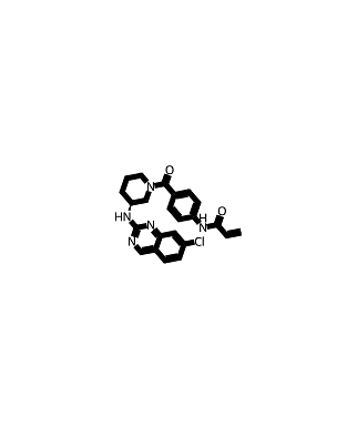 C=CC(=O)Nc1ccc(C(=O)N2CCC[C@@H](Nc3ncc4ccc(Cl)cc4n3)C2)cc1